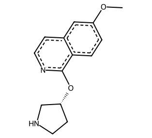 COc1ccc2c(O[C@@H]3CCNC3)nccc2c1